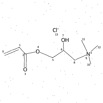 C=CC(=O)OCC(O)C[N+](C)(C)C.[Cl-]